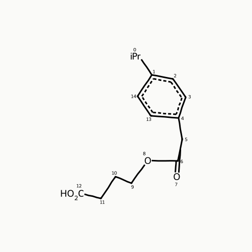 CC(C)c1ccc(CC(=O)OCCCC(=O)O)cc1